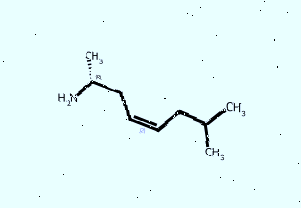 CC(C)C/C=C\C[C@@H](C)N